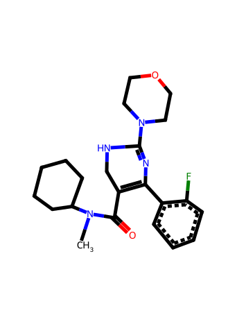 CN(C(=O)C1=C(c2ccccc2F)N=C(N2CCOCC2)NC1)C1CCCCC1